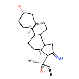 C=C[C@](O)(CCCCCC)C1C(=N)CC2C3CC=C4C[C@@H](O)CC[C@]4(C)C3CC[C@@]21C